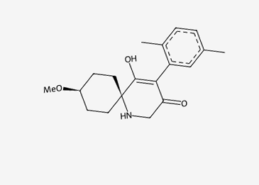 CO[C@H]1CC[C@]2(CC1)NCC(=O)C(c1cc(C)ccc1C)=C2O